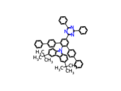 CC(C)(C)c1ccc2c(c1)c1cc(C(C)(C)C)ccc1n2-c1c(-c2ccc(-c3ccccc3)cc2)cc(-c2nc(-c3ccccc3)nc(-c3ccccc3)n2)cc1-c1ccc(-c2ccccc2)cc1